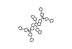 c1ccc(-c2ccc(N(c3ccc(-c4ccccc4)cc3)c3ccc4c(ccc5c(-c6ccc7ccccc7c6)c6c(ccc7cc(N(c8ccc(-c9ccccc9)cc8)c8ccc(-c9ccccc9)cc8)ccc76)c(-c6ccc7ccccc7c6)c54)c3)cc2)cc1